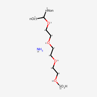 CCCCCCCCCC(CCCCCCCC)OCCOCCOCCOS(=O)(=O)O.N